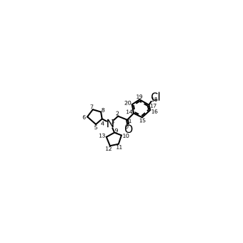 O=C(CN(C1CCCC1)C1CCCC1)c1ccc(Cl)cc1